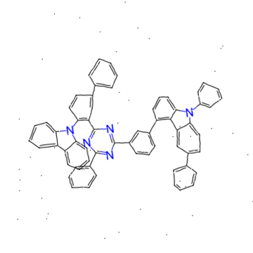 c1ccc(-c2ccc(-n3c4ccccc4c4ccccc43)c(-c3nc(-c4ccccc4)nc(-c4cccc(-c5cccc6c5c5cc(-c7ccccc7)ccc5n6-c5ccccc5)c4)n3)c2)cc1